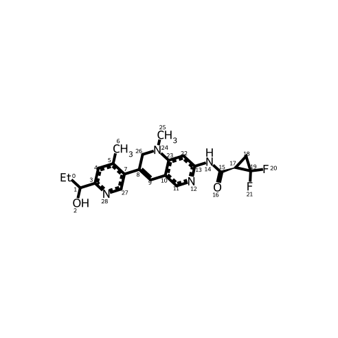 CCC(O)c1cc(C)c(C2=Cc3cnc(NC(=O)[C@H]4CC4(F)F)cc3N(C)C2)cn1